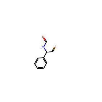 O=CNC(C=S)c1ccccc1